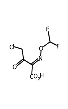 O=C(O)/C(=N/OC(F)F)C(=O)CCl